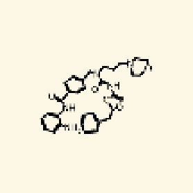 Nc1ccccc1NC(=O)c1ccc(CN(CCCN2CCOCC2)C(=O)NC2=COC(Cc3ccccc3)O2)cc1